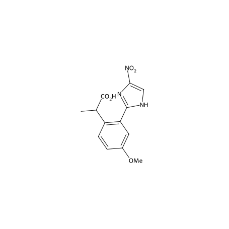 COc1ccc(C(C)C(=O)O)c(-c2nc([N+](=O)[O-])c[nH]2)c1